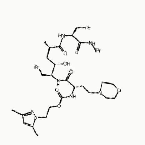 Cc1cc(C)n(CCOC(=O)N[C@@H](CCN2CCOCC2)C(=O)N[C@@H](CC(C)C)[C@@H](O)C[C@@H](C)C(=O)N[C@@H](CC(C)C)C(=O)NC(C)C)n1